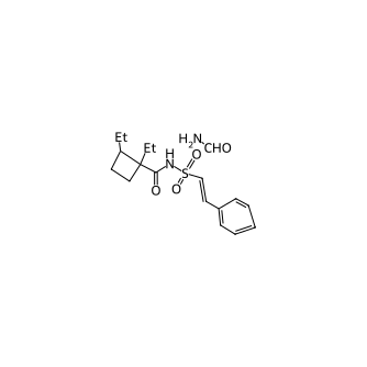 CCC1CCC1(CC)C(=O)NS(=O)(=O)C=Cc1ccccc1.NC=O